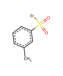 Cc1cccc(S(=O)(=O)Br)c1